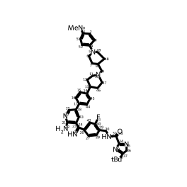 CNc1ccc(N2CCC(CN3CCC(c4ccc(-c5cnc(N)c(C(=N)c6ccc(CNC(=O)C7=NCC(C(C)(C)C)=N7)c(F)c6)c5)cc4)CC3)CC2)cc1